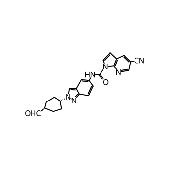 N#Cc1cnc2c(ccn2C(=O)Nc2ccc3nn([C@H]4CC[C@H](C=O)CC4)cc3c2)c1